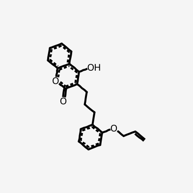 C=CCOc1ccccc1CCCc1c(O)c2ccccc2oc1=O